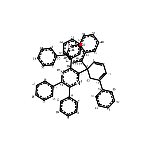 C1=CC(c2nc(-c3ccccc3)c(-c3ccccc3)nc2-c2ccccc2)(c2nc(-c3ccccc3)nc3ccccc23)CC(c2ccccc2)=C1